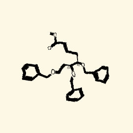 COC(=O)CCC[C@@H](OCc1ccccc1)[C@H](CCOCc1ccccc1)OCc1ccccc1